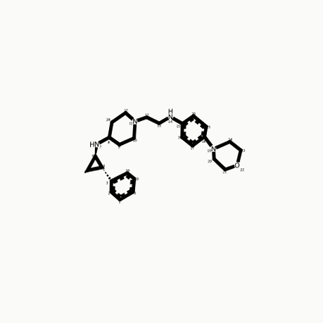 c1ccc([C@@H]2C[C@H]2NC2CCN(CCNc3ccc(N4CCOCC4)cc3)CC2)cc1